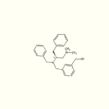 CC(C)Cc1cccc(CN(Cc2ccccc2)[C@@H](Cc2ccccc2)CN(C)C)c1